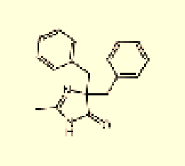 CC1=NC(Cc2ccccc2)(Cc2ccccc2)C(=O)N1